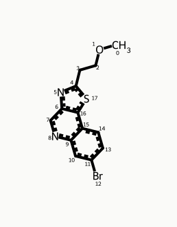 COCCc1nc2cnc3cc(Br)ccc3c2s1